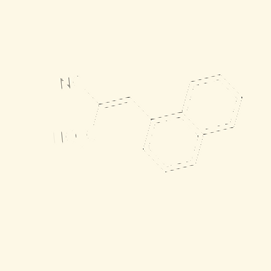 N#CC(=Cc1cccc2ccccc12)C(=O)O